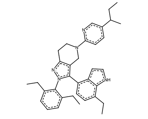 CCc1cccc(CC)c1-n1nc2c(c1-c1ccc(CC)c3[nH]ccc13)CN(c1ccc(C(C)CC)cn1)CC2